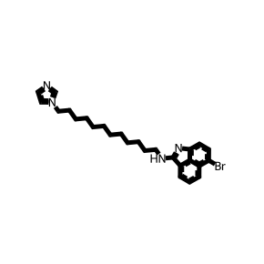 Brc1ccc2c3c(cccc13)C(NCCCCCCCCCCCCn1ccnc1)=N2